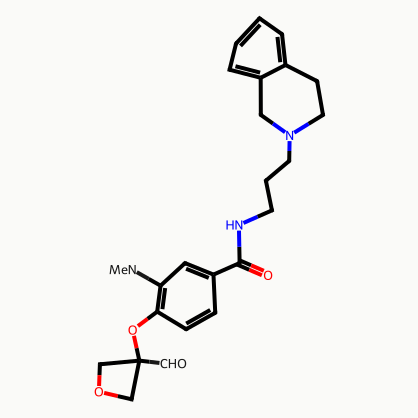 CNc1cc(C(=O)NCCCN2CCc3ccccc3C2)ccc1OC1(C=O)COC1